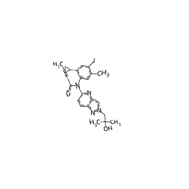 CC#CC(=O)N(c1ccc2nn(CC(C)(C)O)cc2n1)c1cc(C)c(I)cc1C1CC1